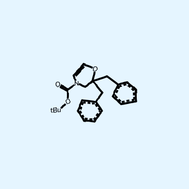 CC(C)(C)OC(=O)N1C=COC(Cc2ccccc2)(Cc2ccccc2)C1